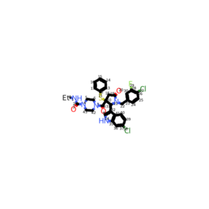 CCNC(=O)N1CCN(C(=O)C2(Sc3ccccc3)CC(=O)N(Cc3ccc(Cl)c(F)c3)C2c2c[nH]c3cc(Cl)ccc23)CC1